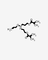 C=CCO[SiH](CCCOC(=O)C(=C)C)CCCOC(=O)C(=C)C